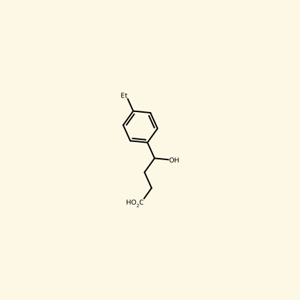 CCc1ccc(C(O)CCC(=O)O)cc1